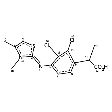 Cc1csc(=Nc2ccc(C(C)C(=O)O)c(Cl)c2Cl)n1C